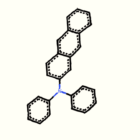 [c]1ccc2cc3cc(N(c4ccccc4)c4ccccc4)ccc3cc2c1